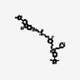 CCn1c2ccc(CNC=CC(=O)NCCOc3ccc(CCc4nc5cc(-c6c(C)noc6C)ccc5n4CCN4CCOCC4)cc3F)cc2c2ccc(-c3cc(C)cs3)cc21